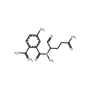 C=C(C)c1ccc(C)cc1C(=O)N(C)C(C=O)CCC(C)=O